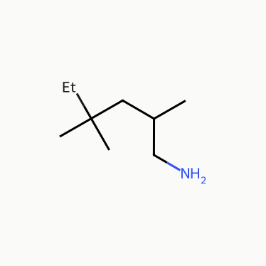 [CH2]CC(C)(C)CC(C)CN